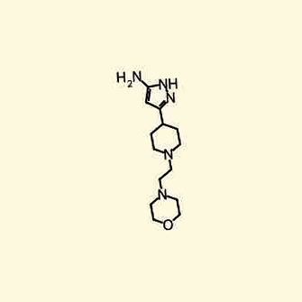 Nc1cc(C2CCN(CCN3CCOCC3)CC2)n[nH]1